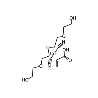 C=CC(=O)O.N#[C][Co][C]#N.OCCOCCOCCOCCO